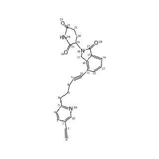 C#Cc1ccc(CCCC#Cc2cccc3c2CN(C2CCC(=O)NC2=O)C3=O)nc1